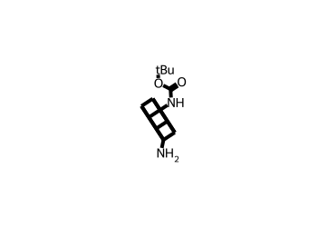 CC(C)(C)OC(=O)NC12C3C4C1C1C2C3C41N